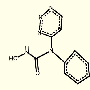 O=C(NO)N(c1ccccc1)c1ccnnn1